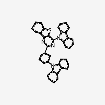 c1cc(-c2nc(-n3c4ccccc4c4ccccc43)c3sc4ccccc4c3n2)cc(-n2c3ccccc3c3ccccc32)c1